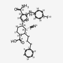 N#C[C@@H]1C(CCCc2ccccc2)N(C(=O)O)CC[C@H]1n1cc(C(N)=O)c(Nc2ccc(F)cc2)n1